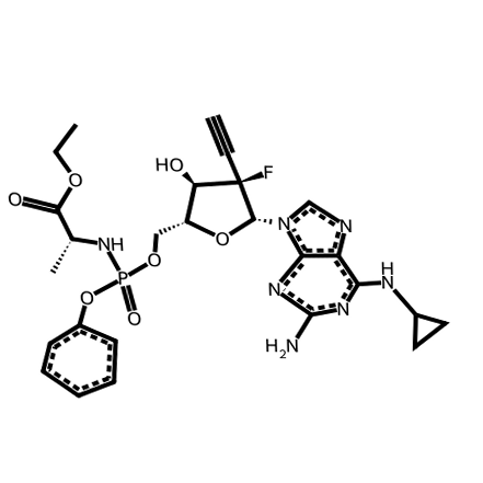 C#C[C@@]1(F)[C@H](O)[C@@H](COP(=O)(N[C@H](C)C(=O)OCC)Oc2ccccc2)O[C@H]1n1cnc2c(NC3CC3)nc(N)nc21